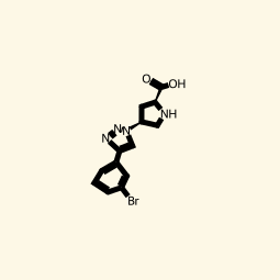 O=C(O)[C@@H]1C[C@H](n2cc(-c3cccc(Br)c3)nn2)CN1